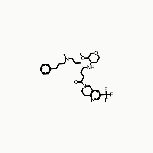 COC1COCCC1N[C@@H](CCCN(C)CCCc1ccccc1)CCC(=O)N1CCc2ncc(C(F)(F)F)cc2C1